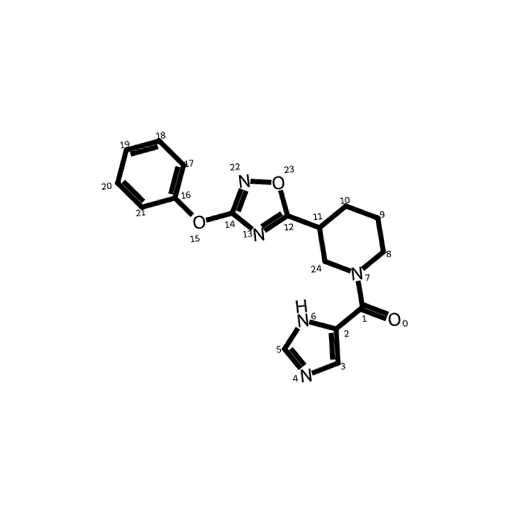 O=C(c1cnc[nH]1)N1CCCC(c2nc(Oc3ccccc3)no2)C1